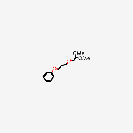 COC(COCCCOc1ccccc1)OC